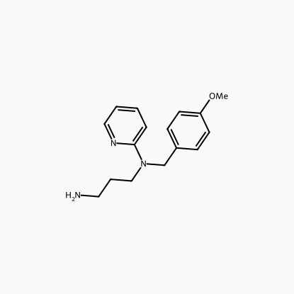 COc1ccc(CN(CCCN)c2ccccn2)cc1